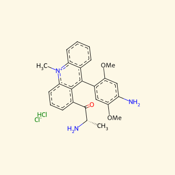 COc1cc(-c2c3ccccc3[n+](C)c3cccc(C(=O)[C@H](C)N)c23)c(OC)cc1N.Cl.[Cl-]